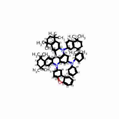 CC1(C)CCC(C)(C)c2cc(N3c4cc5c(cc4B4c6cc7c(cc6N(c6ccc8oc9ccccc9c8c6)c6cc(N(c8ccccc8)c8ccccc8)cc3c64)C(C)(C)CCC7(C)C)C(C)(C)CCC5(C)C)ccc21